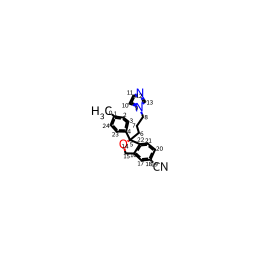 Cc1ccc(C2(CCCn3ccnc3)OCc3cc(C#N)ccc32)cc1